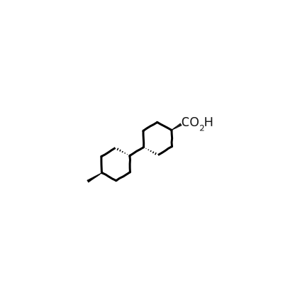 C[C@H]1CC[C@H]([C@H]2CC[C@H](C(=O)O)CC2)CC1